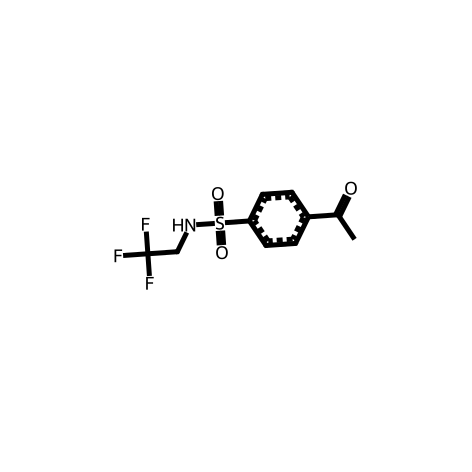 CC(=O)c1ccc(S(=O)(=O)NCC(F)(F)F)cc1